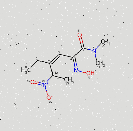 CCC(=CC(=NO)C(=O)N(C)C)C(C)[N+](=O)[O-]